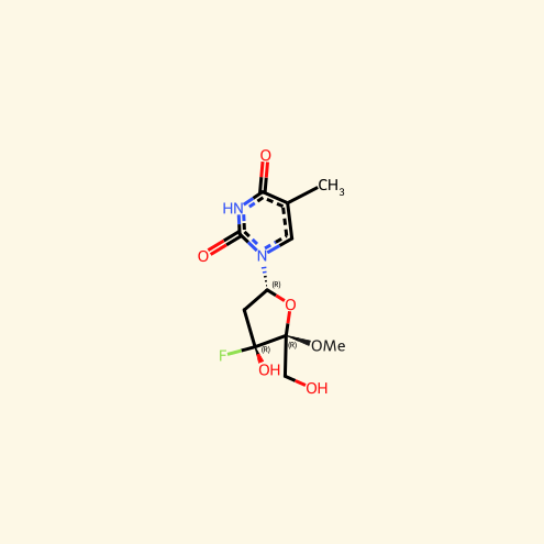 CO[C@]1(CO)O[C@@H](n2cc(C)c(=O)[nH]c2=O)C[C@@]1(O)F